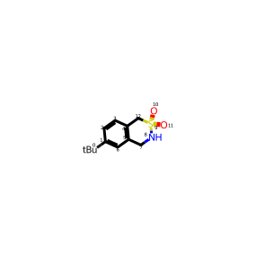 CC(C)(C)c1ccc2c(c1)CNS(=O)(=O)C2